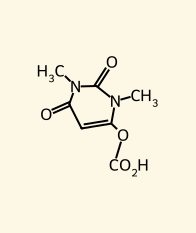 Cn1c(OC(=O)O)cc(=O)n(C)c1=O